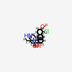 CCCCC(O)(Cc1ccc2c(Cl)c(OC)ccc2c1)[N+]1(c2ccccc2OC)CCNCC1